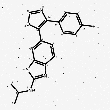 CC(C)Nc1nc2ccc(-c3ocnc3-c3ccc(F)cc3)cc2s1